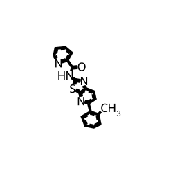 Cc1ccccc1-c1ccc2nc(NC(=O)c3ccccn3)sc2n1